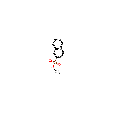 [CH2]OS(=O)(=O)c1ccc2ccccc2c1